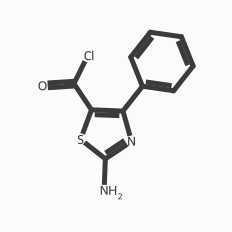 Nc1nc(-c2ccccc2)c(C(=O)Cl)s1